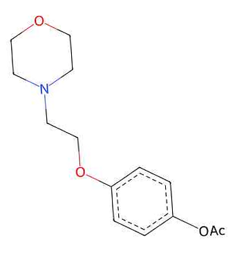 CC(=O)Oc1ccc(OCCN2CCOCC2)cc1